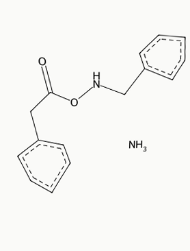 N.O=C(Cc1ccccc1)ONCc1ccccc1